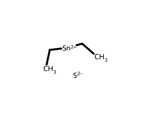 C[CH2][Sn+2][CH2]C.[S-2]